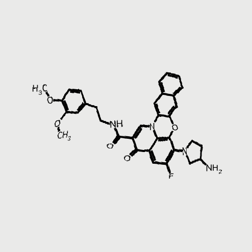 COc1ccc(CCNC(=O)c2cn3c4c(c(N5CCC(N)C5)c(F)cc4c2=O)Oc2cc4ccccc4cc2-3)cc1OC